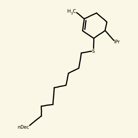 CCCCCCCCCCCCCCCCCCSC1C=C(C)CCC1C(C)C